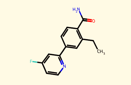 CCc1cc(-c2cc(F)ccn2)ccc1C(N)=O